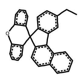 CCc1ccc2c(c1)-c1c(ccc3ccccc13)C21c2ccccc2Oc2ccccc21